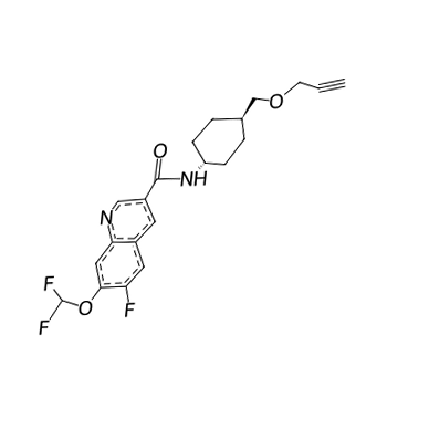 C#CCOC[C@H]1CC[C@H](NC(=O)c2cnc3cc(OC(F)F)c(F)cc3c2)CC1